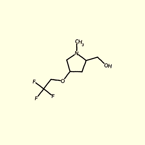 CN1CC(OCC(F)(F)F)CC1CO